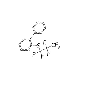 FC(F)(F)C(F)(F)C(F)(F)Sc1[c]cccc1-c1ccccc1